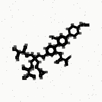 C=C(C)C(=O)Oc1cc(OCC(COC(=O)C(=O)CC)(COC(=O)C(=O)CC)COC2CO2)ccc1-c1ccc(C2CCC(CCCCCC)CC2)cc1F